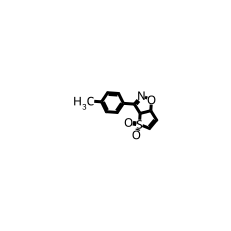 Cc1ccc(C2=NOC3C=CS(=O)(=O)C23)cc1